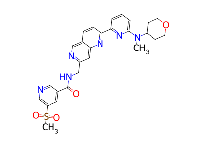 CN(c1cccc(-c2ccc3cnc(CNC(=O)c4cncc(S(C)(=O)=O)c4)cc3n2)n1)C1CCOCC1